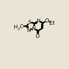 CCOc1cc(=O)n2nc(C)sc2n1